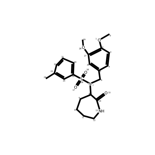 COc1ccc(CN(C2CCCCNC2=O)S(=O)(=O)c2cccc(C)c2)cc1OC